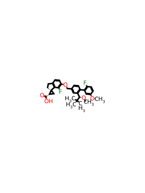 COc1ccc(F)c(-c2ccc(COc3ccc4c(c3F)[C@@]3(CC4)C[C@@H]3C(=O)O)cc2[C@H](OC)C(C)(C)C)c1